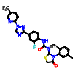 CCCc1ccc(C)cc1N1C(=O)CS/C1=N\C(=O)Nc1ccc(-c2ncn(-c3ccc(C(F)(F)F)cn3)n2)cc1F